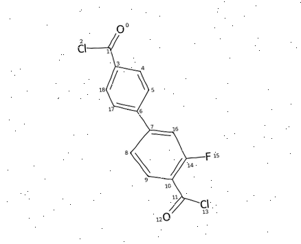 O=C(Cl)c1ccc(-c2ccc(C(=O)Cl)c(F)c2)cc1